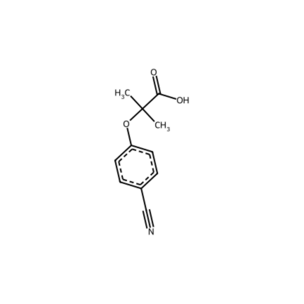 CC(C)(Oc1ccc(C#N)cc1)C(=O)O